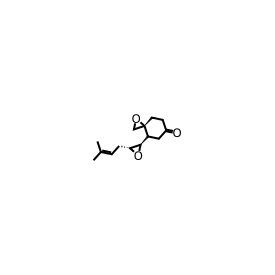 CC(C)=CC[C@H]1O[C@@H]1C1CC(=O)CC[C@]12CO2